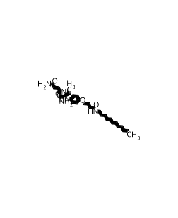 CCCCCCCCCCCCNC(=O)CCCOc1ccc(NC(CC)(NC(=O)CCC(N)=O)C(N)=O)cc1